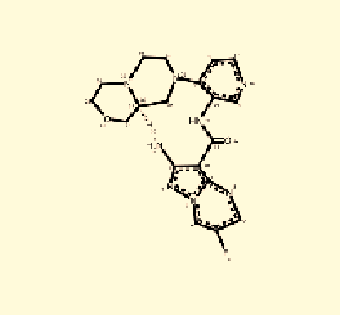 Nc1nn2cc(F)cnc2c1C(=O)Nc1cnccc1N1CCN2CCOC[C@@H]2C1